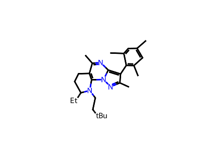 CCC1CCc2c(C)nc3c(-c4c(C)cc(C)cc4C)c(C)nn3c2N1CCC(C)(C)C